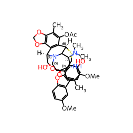 COc1ccc2oc3c(c2c1)CCN[C@]31CS[C@@H]2c3c(OC(C)=O)c(C)c4c(c3[C@H](COC1=O)N1C2[C@@H](N(C)C)c2c(cc(C)c(OC)c2O)C[C@@H]1O)OCO4